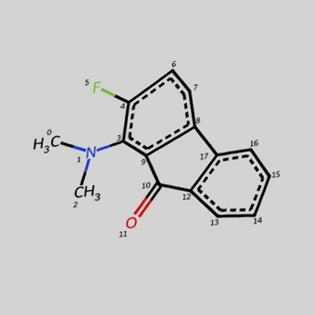 CN(C)c1c(F)ccc2c1C(=O)c1ccccc1-2